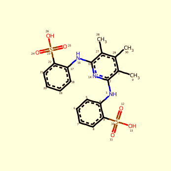 Cc1c(Nc2ccccc2S(=O)(=O)O)nc(Nc2ccccc2S(=O)(=O)O)c(C)c1C